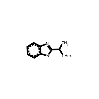 CCCCCCC(C)C1=Nc2ccccc2[N]1